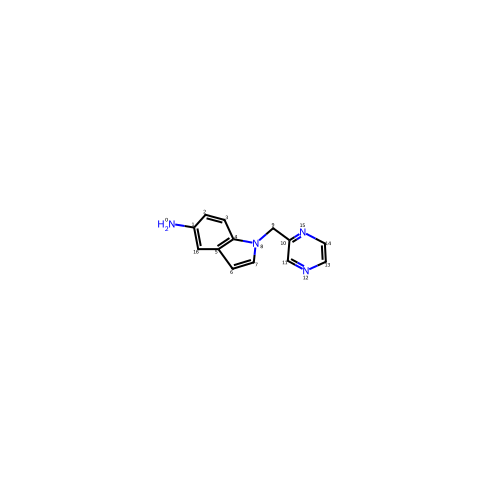 Nc1ccc2c(ccn2Cc2cnccn2)c1